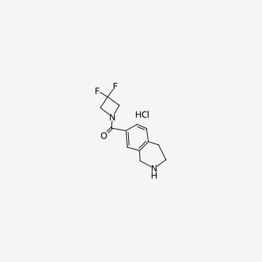 Cl.O=C(c1ccc2c(c1)CNCC2)N1CC(F)(F)C1